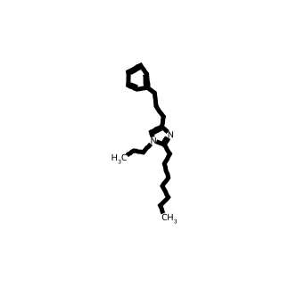 CCCCCCCc1nc(CCCc2ccccc2)cn1CCC